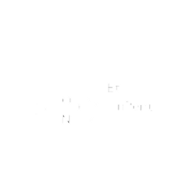 CCCCCC(CC)c1ccc2nc(C3CC3)oc2c1